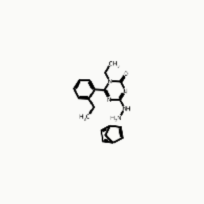 C1=CC2=CC=C1C2.CCc1ccccc1-c1nc(NN)nc(=O)n1CC